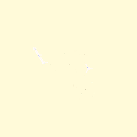 CN(C(=O)OC(C)(C)C)C(C(=O)O)C(C)(C)c1ccc(N=[N+]=[N-])cc1